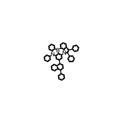 c1ccc(-c2ccc(-c3cc4c5c(c3)-n3c(-c6ccccc6)c(-c6ccccc6)c6cccc(c63)B5c3ccccc3N4c3ccccc3)c3ccccc23)cc1